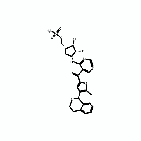 Cc1sc(C(=O)c2cncnc2N[C@@H]2C[C@H](COS(N)(=O)=O)[C@@H](O)[C@@H]2F)cc1[C@@H]1OCCc2ccccc21